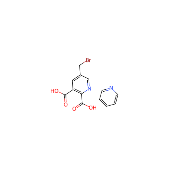 O=C(O)c1cc(CBr)cnc1C(=O)O.c1ccncc1